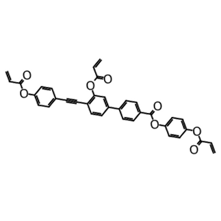 C=CC(=O)Oc1ccc(C#Cc2ccc(-c3ccc(C(=O)Oc4ccc(OC(=O)C=C)cc4)cc3)cc2OC(=O)C=C)cc1